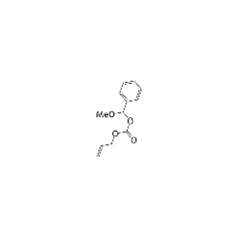 C=CCOC(=O)OC(OC)c1ccccc1